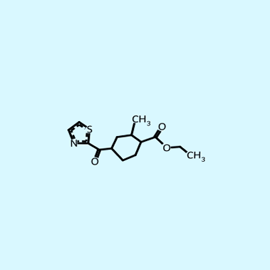 CCOC(=O)C1CCC(C(=O)c2nccs2)CC1C